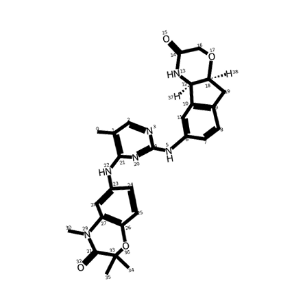 Cc1cnc(Nc2ccc3c(c2)[C@H]2NC(=O)CO[C@H]2C3)nc1Nc1ccc2c(c1)N(C)C(=O)C(C)(C)O2